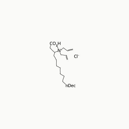 C=CC[N+](C)(CC=C)C(CCCCCCCCCCCCCCCCC)CC(=O)O.[Cl-]